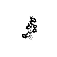 O=C(/C=C/c1ccccc1Cl)Nc1cccc(-c2cccc(-n3c(=O)c(Cc4cccnc4)nc4cccnc43)c2)c1